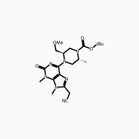 COC[C@H]1CN(C(=O)OC(C)(C)C)[C@H](C)CN1c1nc(=O)n(C)c2c1nc(CC#N)n2C